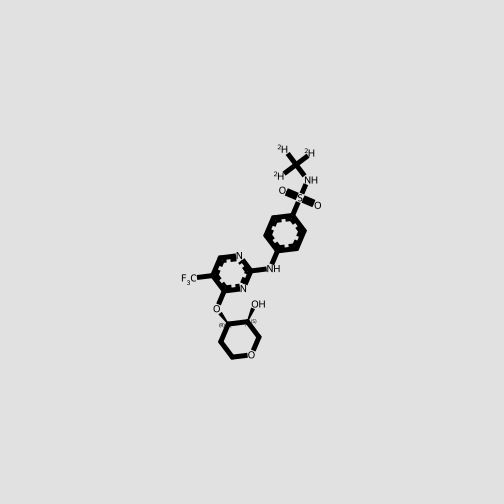 [2H]C([2H])([2H])NS(=O)(=O)c1ccc(Nc2ncc(C(F)(F)F)c(O[C@@H]3CCOC[C@@H]3O)n2)cc1